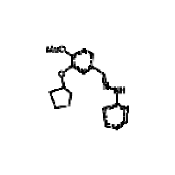 COc1ccc(C=NNc2ccccn2)cc1OC1CCCC1